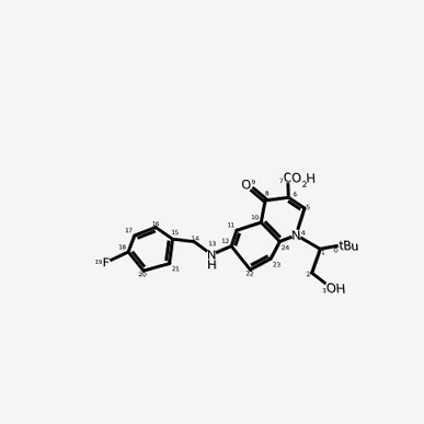 CC(C)(C)C(CO)n1cc(C(=O)O)c(=O)c2cc(NCc3ccc(F)cc3)ccc21